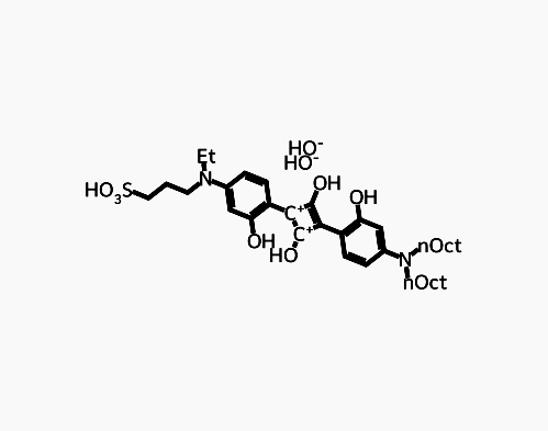 CCCCCCCCN(CCCCCCCC)c1ccc(-c2c(O)[c+](-c3ccc(N(CC)CCCS(=O)(=O)O)cc3O)[c+]2O)c(O)c1.[OH-].[OH-]